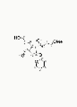 COCCOC(C)[C@H]1[C@@H](CCCO)[C@@H](CO)C[C@H]1OC1CCCCO1